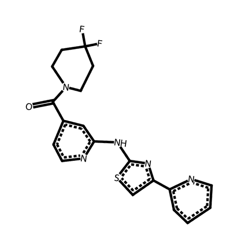 O=C(c1ccnc(Nc2nc(-c3ccccn3)cs2)c1)N1CCC(F)(F)CC1